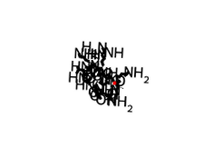 CC(C)[C@H](NC(=O)[C@H](CCCCN)NC(=O)[C@H](CCCNC(=N)N)NC(=O)[C@@H]1CCCN1C(=O)[C@@H](CCCCN)NC(=O)[C@H](C)N)C(=O)N[C@@H](C)C(=O)N[C@@H](C)C(=O)N[C@@H](CCC(N)=O)C(=O)O